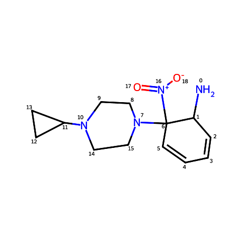 NC1C=CC=CC1(N1CCN(C2CC2)CC1)[N+](=O)[O-]